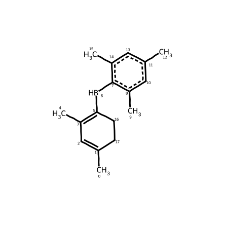 CC1=CC(C)=C(Bc2c(C)cc(C)cc2C)CC1